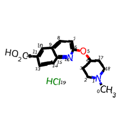 CN1CCC(Oc2ccc3cc(C(=O)O)ccc3n2)CC1.Cl